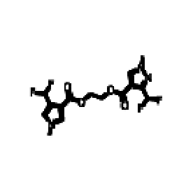 Cn1cc(C(=O)OCCOC(=O)c2cn(C)nc2C(F)F)c(C(F)F)c1